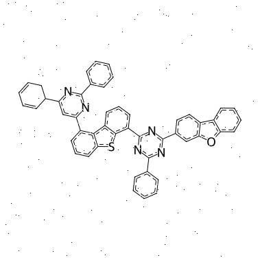 C1=CCC(c2cc(-c3cccc4sc5c(-c6nc(-c7ccccc7)nc(-c7ccc8c(c7)oc7ccccc78)n6)cccc5c34)nc(-c3ccccc3)n2)C=C1